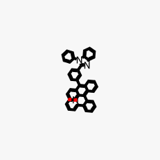 c1ccc(-n2c(-c3cccc(-c4c5ccccc5c(-c5ccccc5-c5ccccn5)c5ccccc45)c3)nc3ccccc32)cc1